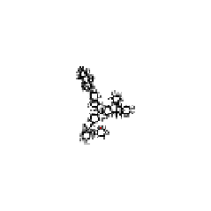 c1ccc(-n2c(-c3ccc(N(c4ccc(-c5nc6ccccc6n5-c5ccccc5)cc4)c4ccc5cc(-c6cc7oc8ccccc8c7cn6)ccc5c4)cc3)nc3ccccc32)cc1